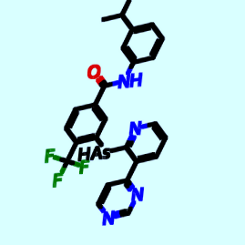 CC(C)c1cccc(NC(=O)c2ccc(C(F)(F)F)c([AsH]c3ncccc3-c3ccncn3)c2)c1